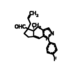 C=CCC1(C=O)CCC2=Cc3c(cnn3-c3ccc(F)cc3)C[C@@]21C